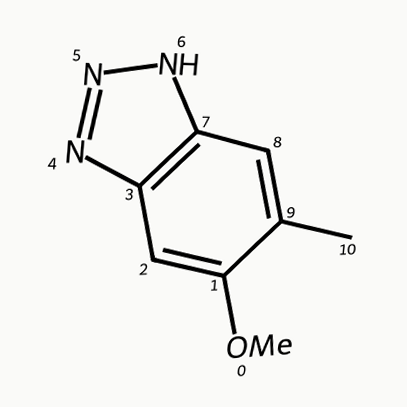 COc1cc2nn[nH]c2cc1C